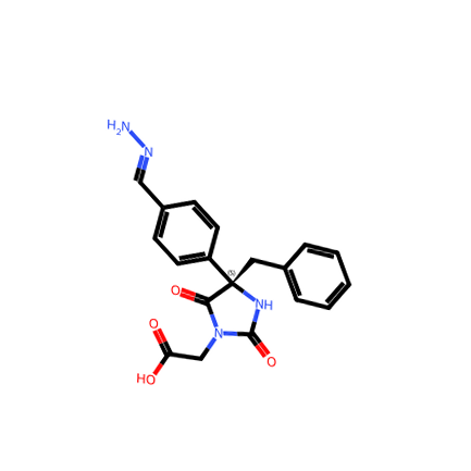 NN=Cc1ccc([C@]2(Cc3ccccc3)NC(=O)N(CC(=O)O)C2=O)cc1